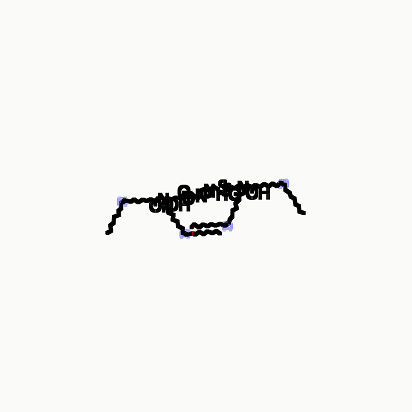 CCCCCCCC/C=C\CCCCCCC(O)CN(CCCCC(=O)OCCN1CCN(CCSSCCCN(CC(O)CCCCCC/C=C\CCCCCCCC)CC(O)CCCCCC/C=C\CCCCCCCC)CC1)CC(O)CCCCCC/C=C\CCCCCCCC